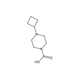 O=C(O)N1CCN(C2CCC2)CC1